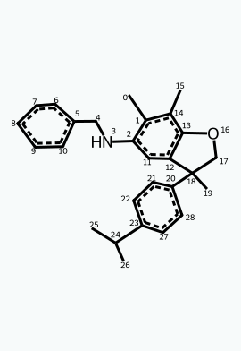 Cc1c(NCc2ccccc2)cc2c(c1C)OCC2(C)c1ccc(C(C)C)cc1